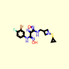 O/N=C(\Nc1ccc(F)c(Br)c1)c1nonc1NCC1CN(SC2CC2)C1